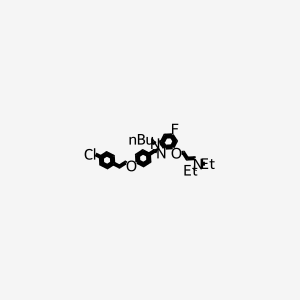 CCCCn1c(-c2ccc(OCCc3ccc(Cl)cc3)cc2)nc2c(OCCCN(CC)CC)cc(F)cc21